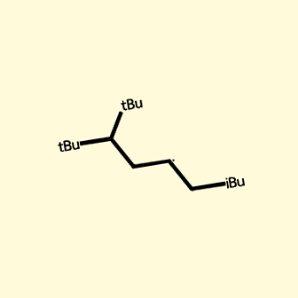 CCC(C)C[CH]CC(C(C)(C)C)C(C)(C)C